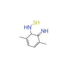 CC1=CC=C(C)C(NS)C1=N